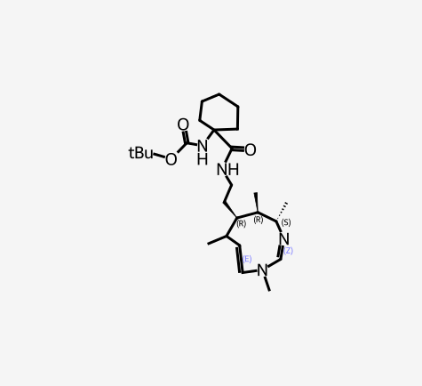 CC1/C=C/N(C)/C=N\[C@@H](C)[C@H](C)[C@@H]1CCNC(=O)C1(NC(=O)OC(C)(C)C)CCCCC1